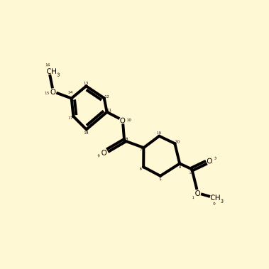 COC(=O)C1CCC(C(=O)Oc2ccc(OC)cc2)CC1